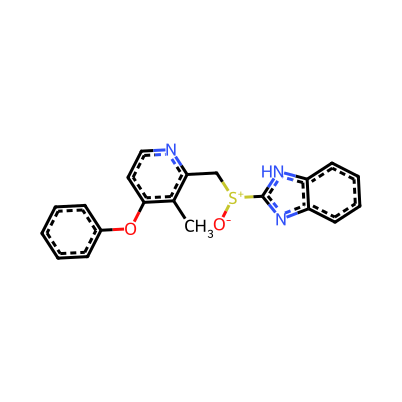 Cc1c(Oc2ccccc2)ccnc1C[S+]([O-])c1nc2ccccc2[nH]1